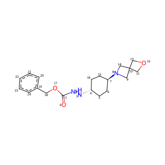 O=C(NN[C@H]1CC[C@H](N2CC3(COC3)C2)CC1)OCc1ccccc1